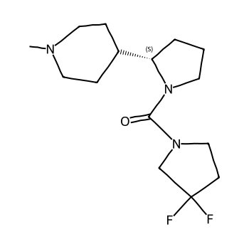 CN1CCC([C@@H]2CCCN2C(=O)N2CCC(F)(F)C2)CC1